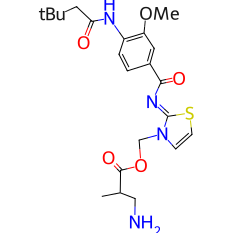 COc1cc(C(=O)N=c2sccn2COC(=O)C(C)CN)ccc1NC(=O)CC(C)(C)C